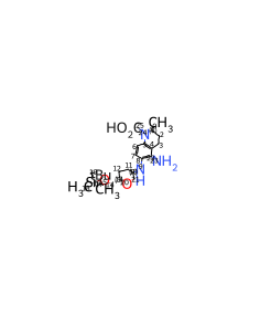 C[C@H]1CCc2c(ccc(N[C@@H]3CC[C@@H](CO[Si](C)(C)C(C)(C)C)OC3)c2N)N1C(=O)O